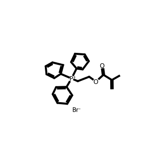 C=C(C)C(=O)OCC[P+](c1ccccc1)(c1ccccc1)c1ccccc1.[Br-]